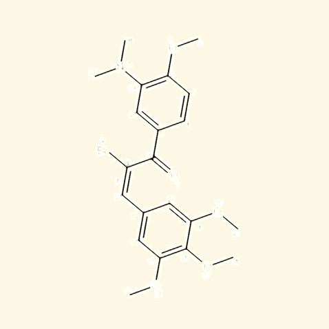 COc1ccc(C(=O)/C(Br)=C\c2cc(OC)c(OC)c(OC)c2)cc1N(C)C